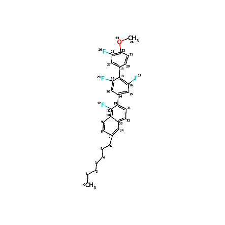 CCCCCCCc1ccc2c(F)c(-c3cc(F)c(-c4ccc(OC)c(F)c4)c(F)c3)ccc2c1